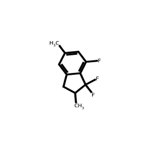 Cc1cc(F)c2c(c1)CC(C)C2(F)F